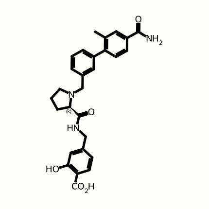 Cc1cc(C(N)=O)ccc1-c1cccc(CN2CCC[C@@H]2C(=O)NCc2ccc(C(=O)O)c(O)c2)c1